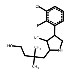 CC(C)(CCO)CC1NCC(c2cccc(Cl)c2F)C1C#N